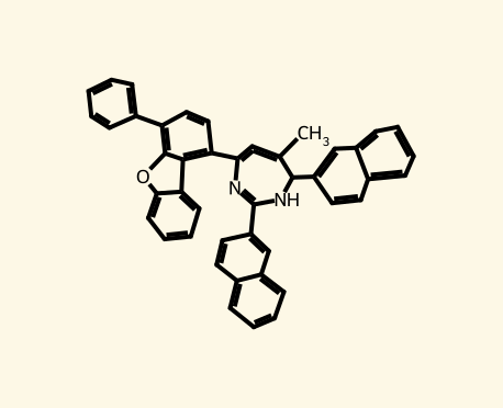 CC1=C=C(c2ccc(-c3ccccc3)c3oc4ccccc4c23)N=C(c2ccc3ccccc3c2)NC1c1ccc2ccccc2c1